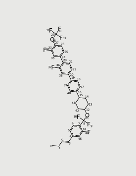 CC/C=C/c1ccc(C(F)(F)OC2CCC(c3ccc(-c4ccc(-c5ccc(OC(F)(F)F)c(F)c5)c(F)c4)cc3)CC2)c(F)c1